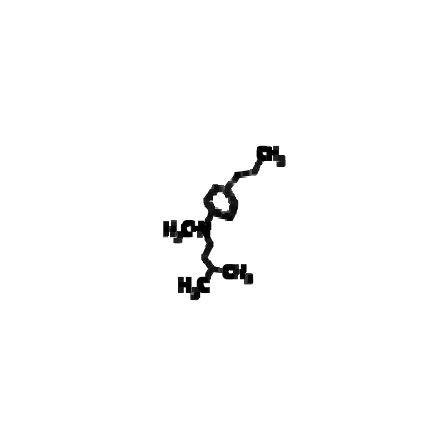 CCCc1ccc(N(C)CCC(C)C)cc1